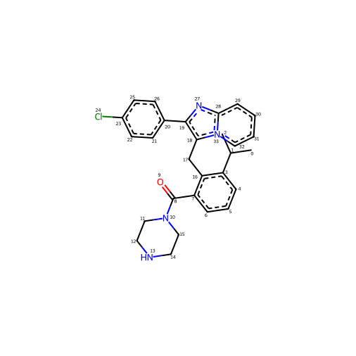 CC(C)c1cccc(C(=O)N2CCNCC2)c1Cc1c(-c2ccc(Cl)cc2)nc2ccccn12